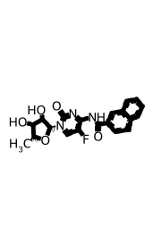 C[C@H]1O[C@@H](n2cc(F)c(NC(=O)c3ccc4ccccc4c3)nc2=O)C(O)C1O